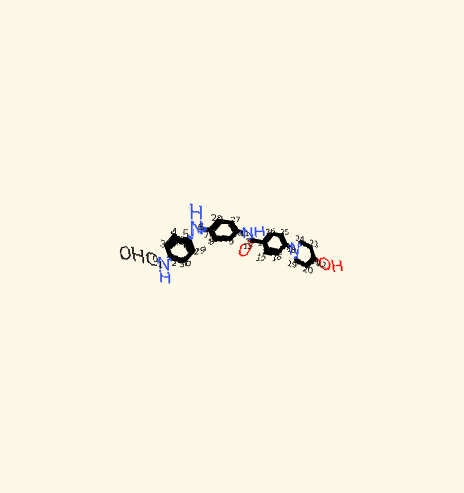 O=CNc1ccc(Nc2ccc(NC(=O)c3ccc(N4CCC(O)CC4)cc3)cc2)cc1